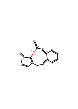 C=C/C1=C(\C=C/C)C/C=c2/cccc/c2=C/C(=C)O1